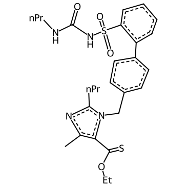 CCCNC(=O)NS(=O)(=O)c1ccccc1-c1ccc(Cn2c(CCC)nc(C)c2C(=S)OCC)cc1